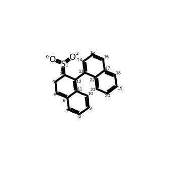 O=S(=O)=C1CC=c2ccccc2=C1c1cccc2ccccc12